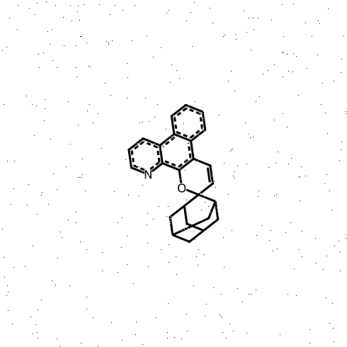 C1=CC2(Oc3c1c1ccccc1c1cccnc31)C1CC3CC(C1)CC2C3